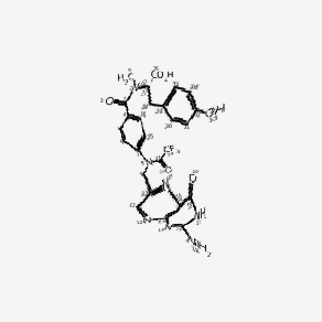 CN(C(=O)c1ccc(N(Cc2cnc3nc(N)[nH]c(=O)c3n2)C(=O)C(F)(F)F)cc1)[C@@H](Cc1ccc(O)cc1)C(=O)O